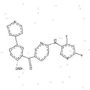 COc1ccc(-c2ccncc2)cc1C(=O)c1ccc(Nc2ccc(F)cc2F)nc1